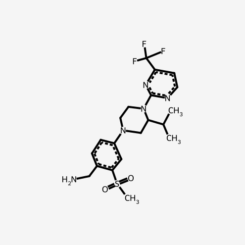 CC(C)C1CN(c2ccc(CN)c(S(C)(=O)=O)c2)CCN1c1nccc(C(F)(F)F)n1